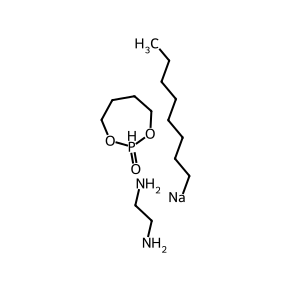 CCCCCCC[CH2][Na].NCCN.O=[PH]1OCCCCO1